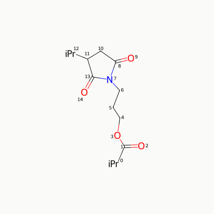 CC(C)C(=O)OCCCN1C(=O)CC(C(C)C)C1=O